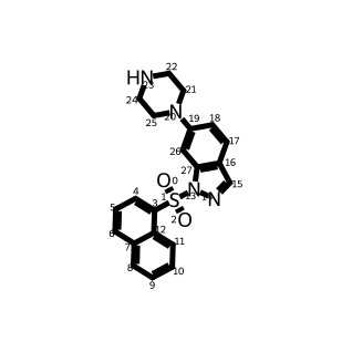 O=S(=O)(c1cccc2ccccc12)n1ncc2ccc(N3CCNCC3)cc21